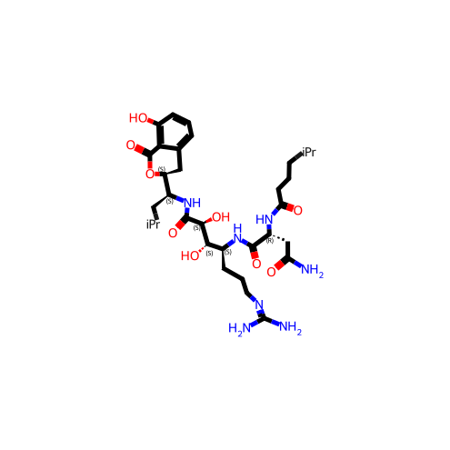 CC(C)CCCC(=O)N[C@H](CC(N)=O)C(=O)N[C@@H](CCCN=C(N)N)[C@H](O)[C@H](O)C(=O)N[C@@H](CC(C)C)[C@@H]1Cc2cccc(O)c2C(=O)O1